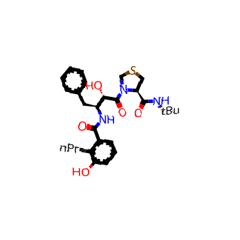 CCCc1c(O)cccc1C(=O)N[C@@H](Cc1ccccc1)[C@H](O)C(=O)N1CSC[C@H]1C(=O)NC(C)(C)C